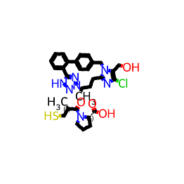 CCCCc1nc(Cl)c(CO)n1Cc1ccc(-c2ccccc2-c2nnn[nH]2)cc1.C[C@H](CS)C(=O)N1CCC[C@H]1C(=O)O